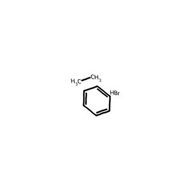 Br.CC.c1ccccc1